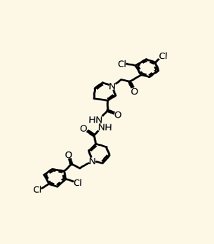 O=C(NNC(=O)C1=CN(CC(=O)c2ccc(Cl)cc2Cl)C=CC1)C1=CN(CC(=O)c2ccc(Cl)cc2Cl)C=CC1